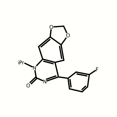 CC(C)n1c(=O)nc(-c2cccc(F)c2)c2cc3c(cc21)OCO3